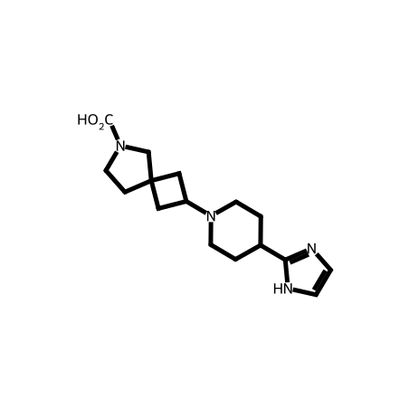 O=C(O)N1CCC2(CC(N3CCC(c4ncc[nH]4)CC3)C2)C1